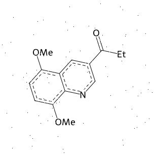 CCC(=O)c1cnc2c(OC)ccc(OC)c2c1